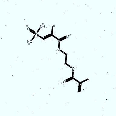 C=C(C)C(=O)OCCOC(=O)C(C)=CP(=O)(O)O